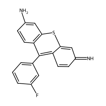 N=c1ccc2c(-c3cccc(F)c3)c3ccc(N)cc3sc-2c1